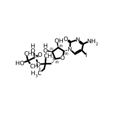 CCC(C)(C[C@H]1O[C@@H](n2cc(I)c(N)nc2=O)[C@H](O)[C@@H]1O)OP(=O)(O)C(C)(C)O